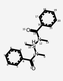 CN(C(=O)c1ccccc1)[SiH](C)N(C)C(=O)c1ccccc1